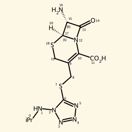 CC(C)Nn1nnnc1SCC1=C(C(=O)O)N2C(=O)[C@@H](N)[C@@H]2SC1